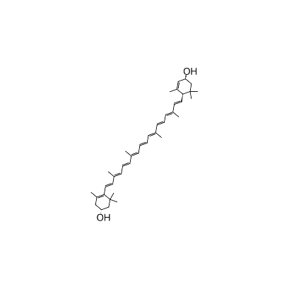 CC1=C[C@@H](O)CC(C)(C)[C@H]1/C=C/C(C)=C/C=C/C(C)=C/C=C/C=C(C)/C=C/C=C(C)/C=C/C1=C(C)C[C@@H](O)CC1(C)C